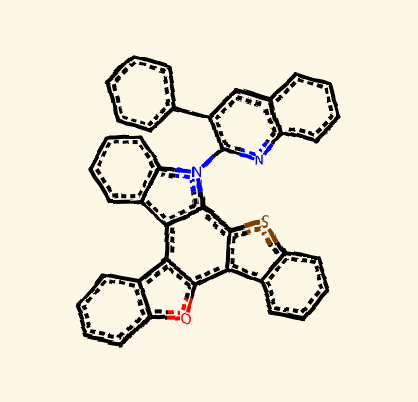 c1ccc(-c2cc3ccccc3nc2-n2c3ccccc3c3c4c5ccccc5oc4c4c5ccccc5sc4c32)cc1